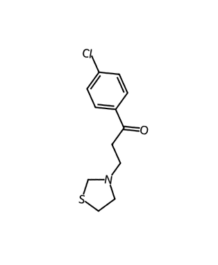 O=C(CCN1CCSC1)c1ccc(Cl)cc1